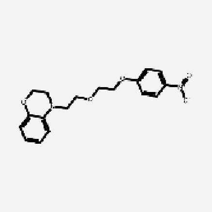 O=[N+]([O-])c1ccc(OCCOCCN2CCOc3ccccc32)cc1